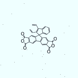 C=CC1=C(C=C)C2(c3ccccc31)c1cc3c(cc1-c1cc4c(cc12)C(=O)OC4=O)C(=O)OC3=O